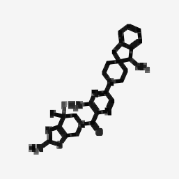 Nc1nc2c(s1)CN(C(=O)c1ncc(N3CCC4(CC3)Cc3ccccc3C4N)nc1N)CC2(F)F